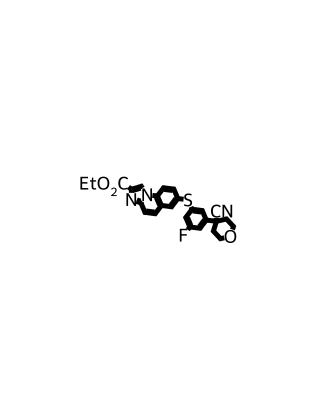 CCOC(=O)c1cn2c(ccc3cc(Sc4cc(F)cc(C5(C#N)CCOCC5)c4)ccc32)n1